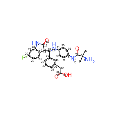 CN(C(=O)C(C)(C)N)c1ccc(N/C(=C2\C(=O)Nc3cc(F)ccc32)c2cccc(CC(=O)O)c2)cc1